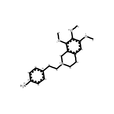 COc1cc2c(c(OC)c1OC)CN(CCc1ccc(N)cc1)CC2